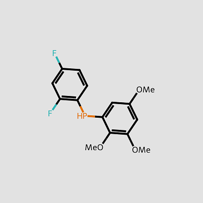 COc1cc(OC)c(OC)c(Pc2ccc(F)cc2F)c1